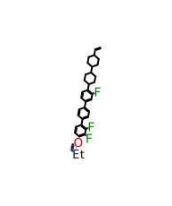 C=CC1CCC(C2CCC(c3ccc(-c4ccc(-c5ccc(O/C=C\CC)c(F)c5F)cc4)cc3F)CC2)CC1